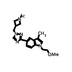 COCCn1cc(C)c2cc(-c3ncn(CC4CN(C(C)=O)C4)n3)ccc21